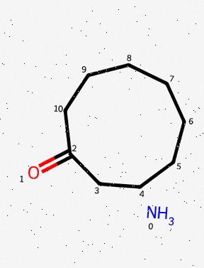 N.O=C1CCCCCCCC1